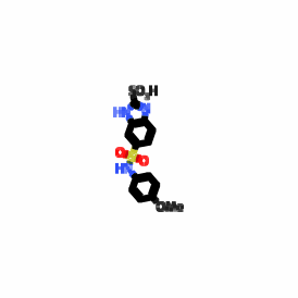 COc1ccc(NS(=O)(=O)c2ccc3nc(S(=O)(=O)O)[nH]c3c2)cc1